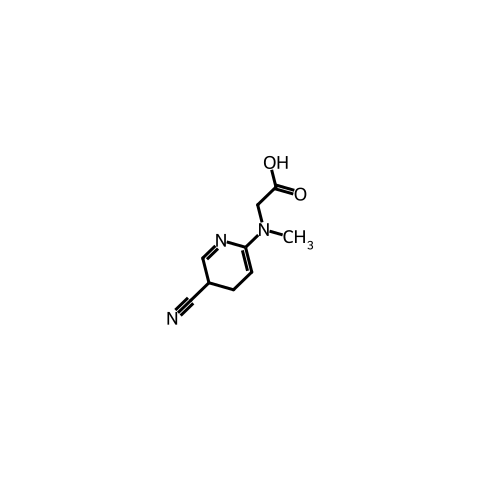 CN(CC(=O)O)C1=CCC(C#N)C=N1